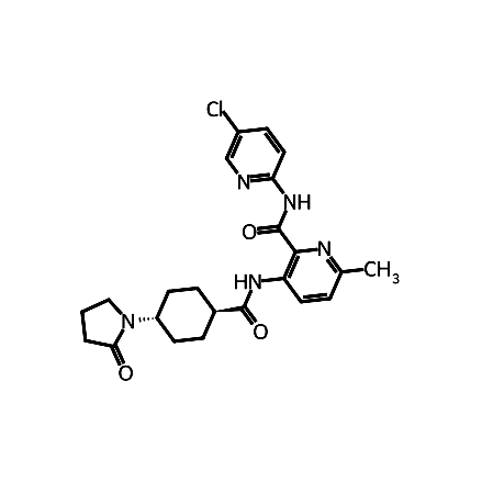 Cc1ccc(NC(=O)[C@H]2CC[C@H](N3CCCC3=O)CC2)c(C(=O)Nc2ccc(Cl)cn2)n1